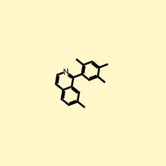 Cc1ccc2ccnc(-c3cc(C)c(C)cc3C)c2c1